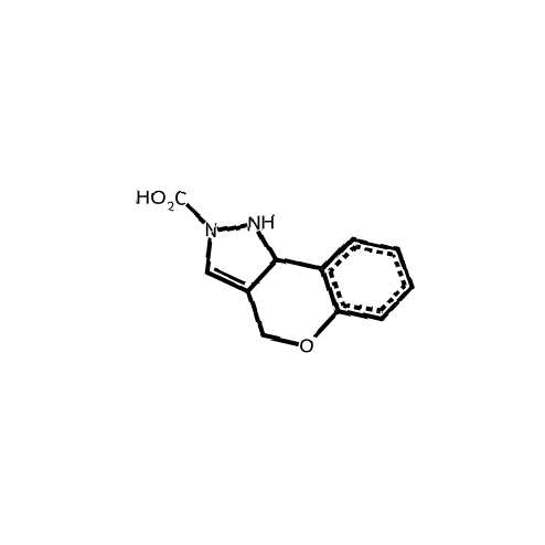 O=C(O)N1C=C2COc3ccccc3C2N1